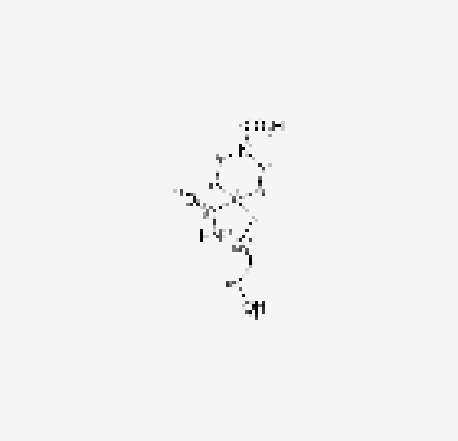 O=C(O)N1CCC2(CC1)C[C@@H](CCO)NC2=O